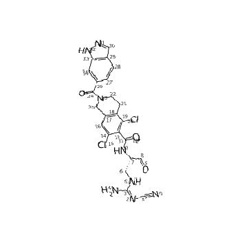 N#C/N=C(/N)NC[C@@H](C=O)NC(=O)c1c(Cl)cc2c(c1Cl)CCN(C(=O)c1ccc3cn[nH]c3c1)C2